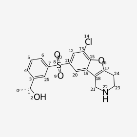 C[C@@H](O)c1cccc(S(=O)(=O)c2cc(Cl)c3oc4c(c3c2)CNCC4)c1